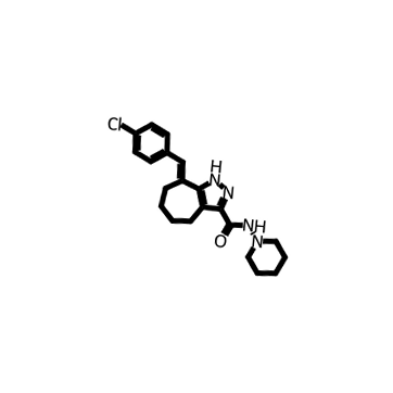 O=C(NN1CCCCC1)c1n[nH]c2c1CCCC/C2=C\c1ccc(Cl)cc1